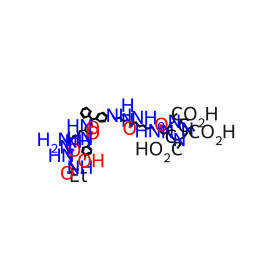 CCC(=O)NCCNC(=O)/N=C(/N)NCCC[C@@H](NC(=O)C(c1ccccc1)c1ccc(NCCCNC(=O)[C@H](N)CCCCNC(=O)CN2CCN(CC(=O)O)CCN(CC(=O)O)CCN(CC(=O)O)CC2)cc1)C(=O)NCc1ccc(O)cc1